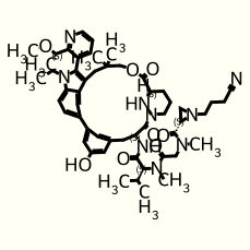 CCn1c(-c2cccnc2[C@H](C)OC)c2c3cc(ccc31)-c1cc(O)cc(c1)C[C@H](NC(=O)[C@H](C(C)C)N(C)C(=O)CN(C)C(=O)[C@@H]1CN1CCCC#N)C(=O)N1CCC[C@H](N1)C(=O)OCC(C)(C)C2